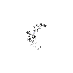 [N-]=[N+]=Nc1ccc(/C=C/[C@@H]2[C@H]3CC(CCC(=O)O)=C[C@H]3C[C@H]2O)cc1